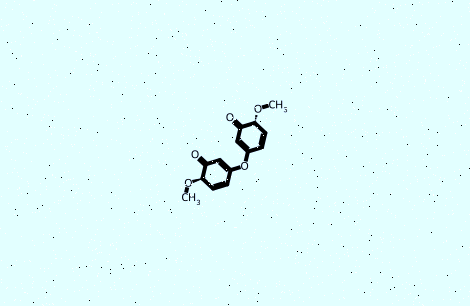 CO[C@@H]1C=CC(OC2=CC(=O)[C@H](OC)C=C2)=CC1=O